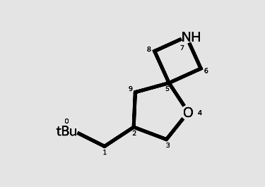 CC(C)(C)CC1COC2(CNC2)C1